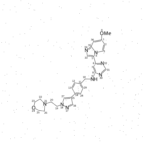 COc1ccn2c(-c3cc(NCc4ccc(-c5cnn(CCN6CCOCC6)c5)cc4)ncn3)cnc2c1